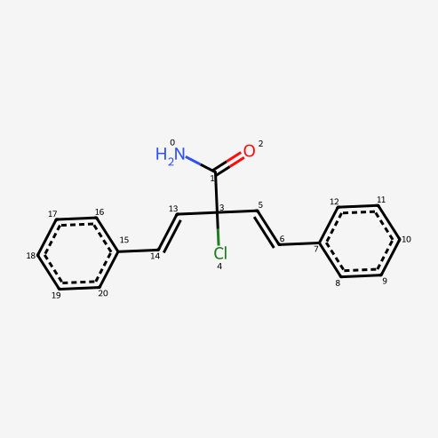 NC(=O)C(Cl)(C=Cc1ccccc1)C=Cc1ccccc1